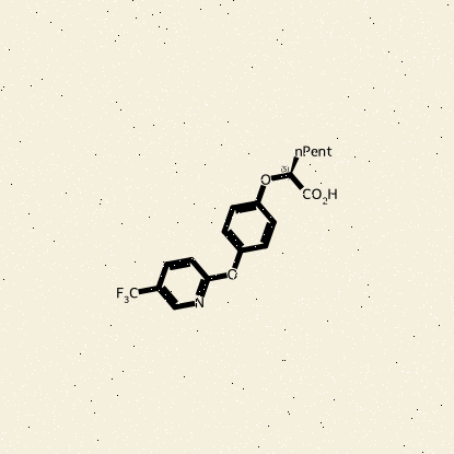 CCCCC[C@H](Oc1ccc(Oc2ccc(C(F)(F)F)cn2)cc1)C(=O)O